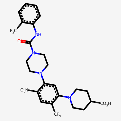 O=C(O)C1CCN(c2cc(N3CCN(C(=O)Nc4ccccc4C(F)(F)F)CC3)c([N+](=O)[O-])cc2C(F)(F)F)CC1